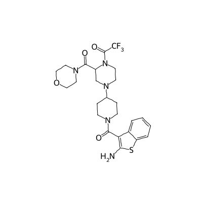 Nc1sc2ccccc2c1C(=O)N1CCC(N2CCN(C(=O)C(F)(F)F)C(C(=O)N3CCOCC3)C2)CC1